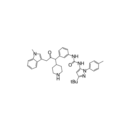 Cc1ccc(-n2nc(C(C)(C)C)cc2NC(=O)Nc2cccc(C(C(=O)Cc3cn(C)c4ccccc34)C3CCNCC3)c2)cc1